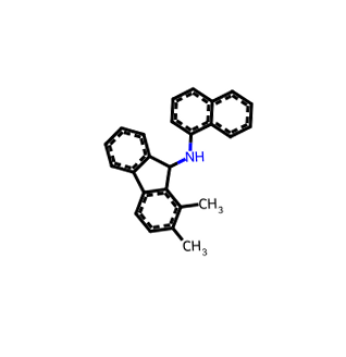 Cc1ccc2c(c1C)C(Nc1cccc3ccccc13)c1ccccc1-2